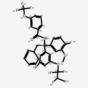 COc1cc([C@@](CC2C=CC=CC2)(NC(=O)c2cccc(OC(F)(F)F)c2)c2cc(F)cc(OC(F)(F)C(F)F)c2)ccc1F